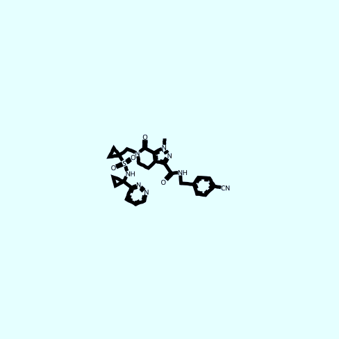 Cn1nc(C(=O)NCc2ccc(C#N)cc2)c2c1C(=O)N(CC1(S(=O)(=O)NC3(c4cccnn4)CC3)CC1)CC2